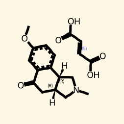 COc1ccc2c(c1)C(=O)C[C@H]1CN(C)C[C@@H]21.O=C(O)/C=C/C(=O)O